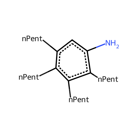 CCCCCc1cc(N)c(CCCCC)c(CCCCC)c1CCCCC